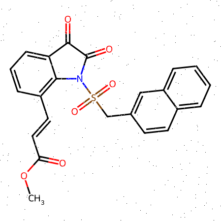 COC(=O)C=Cc1cccc2c1N(S(=O)(=O)Cc1ccc3ccccc3c1)C(=O)C2=O